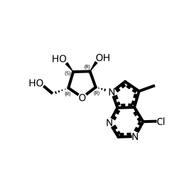 Cc1cn([C@@H]2O[C@H](CO)[C@@H](O)[C@H]2O)c2ncnc(Cl)c12